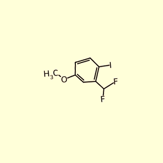 COc1ccc(I)c(C(F)F)c1